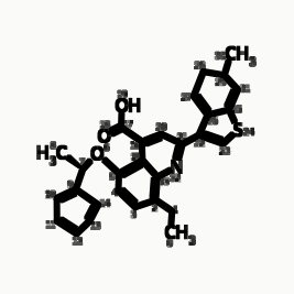 CCc1ccc(O[C@H](C)c2ccccc2)c2c(C(=O)O)cc(-c3csc4c3=CCC(C)C=4)nc12